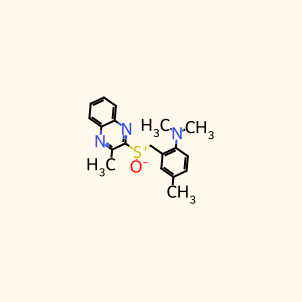 Cc1ccc(N(C)C)c(C[S+]([O-])c2nc3ccccc3nc2C)c1